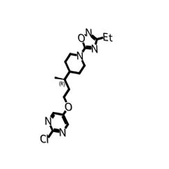 CCc1noc(N2CCC([C@H](C)CCOc3cnc(Cl)nc3)CC2)n1